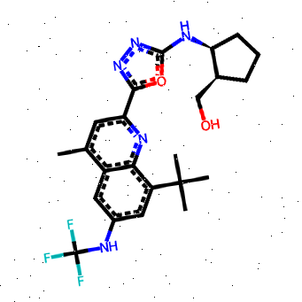 Cc1cc(-c2nnc(N[C@H]3CCC[C@H]3CO)o2)nc2c(C(C)(C)C)cc(NC(F)(F)F)cc12